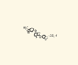 Cc1noc2cc(Oc3ccc(F)c4c3CC[C@H]4Oc3ccc4c(c3)OC[C@H]4CC(=O)O)ccc12